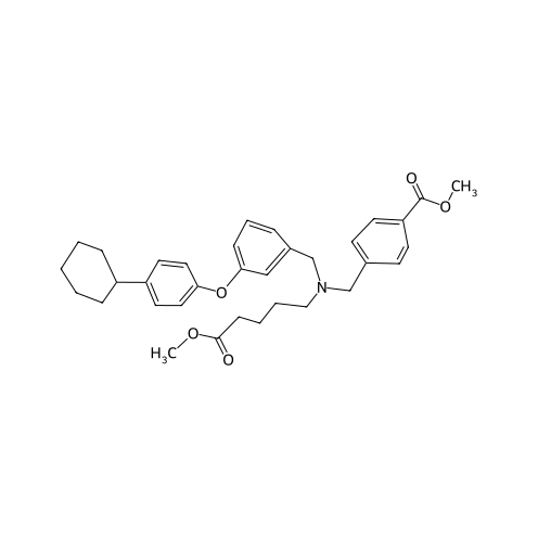 COC(=O)CCCCN(Cc1ccc(C(=O)OC)cc1)Cc1cccc(Oc2ccc(C3CCCCC3)cc2)c1